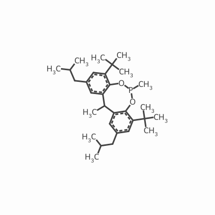 CC(C)Cc1cc2c(c(C(C)(C)C)c1)OP(C)Oc1c(cc(CC(C)C)cc1C(C)(C)C)C2C